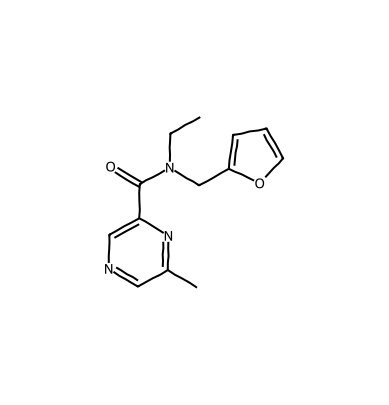 CCN(Cc1ccco1)C(=O)c1cncc(C)n1